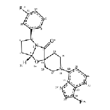 O=C1N2[C@@H](CC[C@H]2c2cccc(F)c2)OC12CCN(c1ccnc3c(F)cnn13)CC2